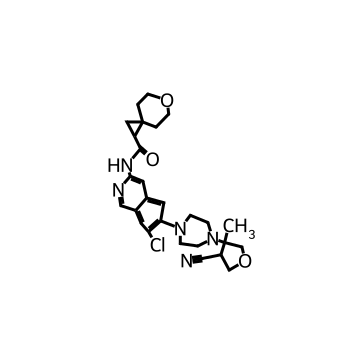 CC1(N2CCN(c3cc4cc(NC(=O)C5CC56CCOCC6)ncc4cc3Cl)CC2)COCC1C#N